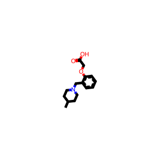 CC1CCN(Cc2ccccc2OCC(=O)O)CC1